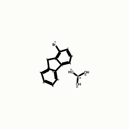 Brc1cccc2c1Cc1ccccc1-2.OB(O)O